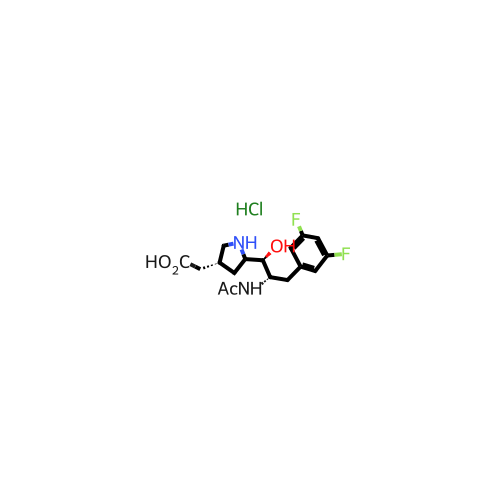 CC(=O)N[C@@H](Cc1cc(F)cc(F)c1)[C@H](O)C1C[C@H](CC(=O)O)CN1.Cl